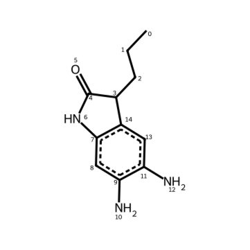 CCCC1C(=O)Nc2cc(N)c(N)cc21